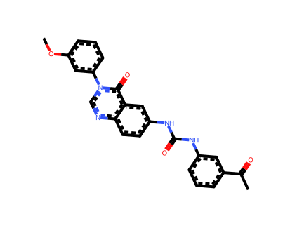 COc1cccc(-n2cnc3ccc(NC(=O)Nc4cccc(C(C)=O)c4)cc3c2=O)c1